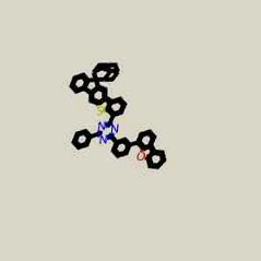 c1ccc(-c2nc(-c3cccc(-c4cccc5c4oc4ccccc45)c3)nc(-c3cccc4c3sc3cc5c(cc34)C3(c4ccccc4-5)C4CC5CC(C4)CC3C5)n2)cc1